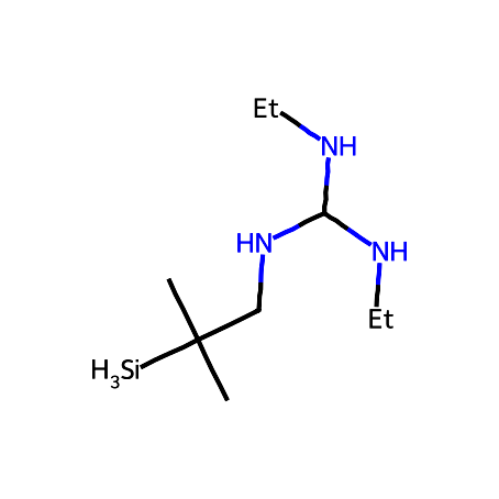 CCNC(NCC)NCC(C)(C)[SiH3]